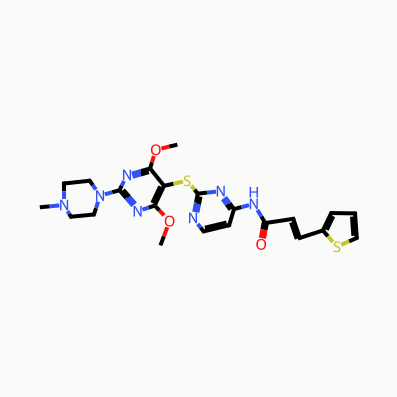 COc1nc(N2CCN(C)CC2)nc(OC)c1Sc1nccc(NC(=O)/C=C/c2cccs2)n1